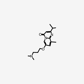 Cc1cc(OCCCN(C)C)cn2c(=O)cc(C(C)C)nc12